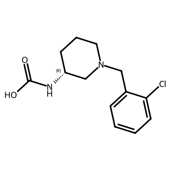 O=C(O)N[C@@H]1CCCN(Cc2ccccc2Cl)C1